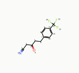 N#CCC(=O)CCc1ccc(C(F)(F)F)cc1